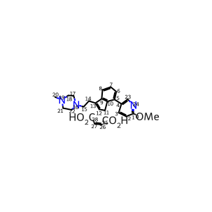 COc1ccc(-c2cccc3c2CC=C3CCN2CCN(C)CC2)cn1.O=C(O)/C=C\C(=O)O